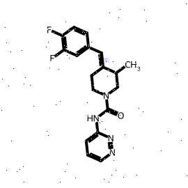 CC1CN(C(=O)Nc2cccnn2)CC/C1=C\c1ccc(F)c(F)c1